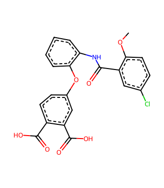 COc1ccc(Cl)cc1C(=O)Nc1ccccc1Oc1ccc(C(=O)O)c(C(=O)O)c1